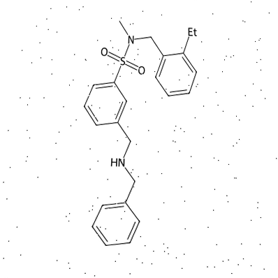 CCc1ccccc1CN(C)S(=O)(=O)c1cccc(CNCc2ccccc2)c1